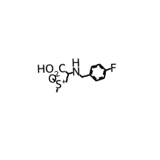 C[S+]([O-])CC(NCc1ccc(F)cc1)C(=O)O